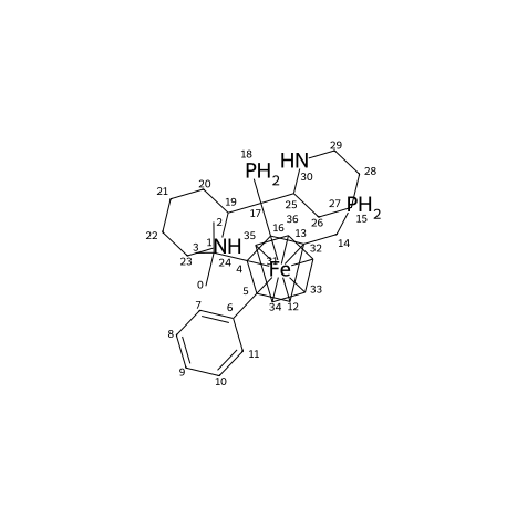 CC(C)(C)[C]12[C]3(c4ccccc4)[CH]4[C]5(CP)[C]1(C(P)(C1CCCCN1)C1CCCCN1)[Fe]45321678[CH]2[CH]1[CH]6[CH]7[CH]28